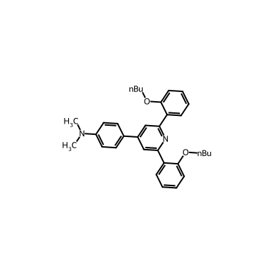 CCCCOc1ccccc1-c1cc(-c2ccc(N(C)C)cc2)cc(-c2ccccc2OCCCC)n1